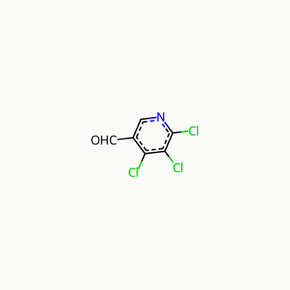 O=Cc1cnc(Cl)c(Cl)c1Cl